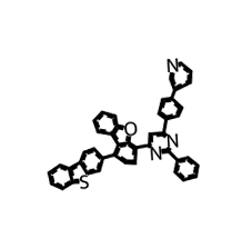 c1ccc(-c2nc(-c3ccc(-c4cccnc4)cc3)cc(-c3ccc(-c4ccc5c(c4)sc4ccccc45)c4c3oc3ccccc34)n2)cc1